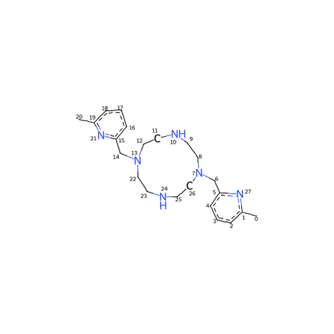 Cc1cccc(CN2CCNCCN(Cc3cccc(C)n3)CCNCC2)n1